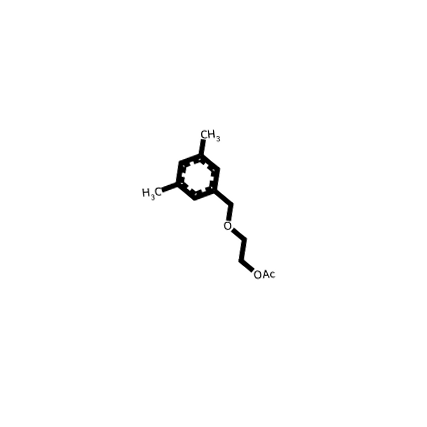 CC(=O)OCCOCc1cc(C)cc(C)c1